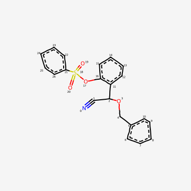 N#CC(OCc1ccccc1)c1ccccc1OS(=O)(=O)c1ccccc1